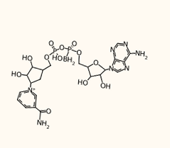 BP(=O)(OCC1OC(n2cnc3c(N)ncnc32)C(O)C1O)OP(=O)(O)OCC1CC([n+]2cccc(C(N)=O)c2)C(O)C1O